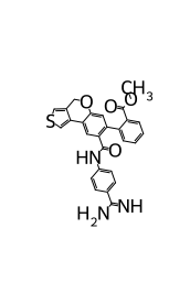 COC(=O)c1ccccc1-c1cc2c(cc1C(=O)Nc1ccc(C(=N)N)cc1)-c1cscc1CO2